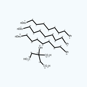 CCCCCCCCCCCCCCCCCC(C)C.CCCCCCCCCCCCCCCCCC(C)C.CCCCCCCCCCCCCCCCCC(C)C.O=C(O)CC(O)(CC(=O)O)C(=O)O